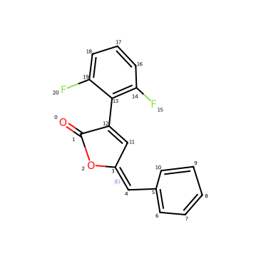 O=C1O/C(=C/c2ccccc2)C=C1c1c(F)cccc1F